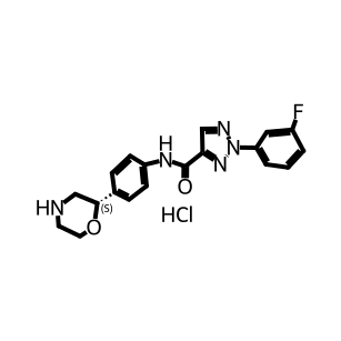 Cl.O=C(Nc1ccc([C@H]2CNCCO2)cc1)c1cnn(-c2cccc(F)c2)n1